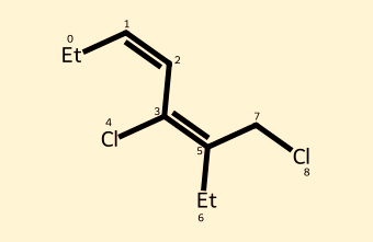 CC/C=C\C(Cl)=C(\CC)CCl